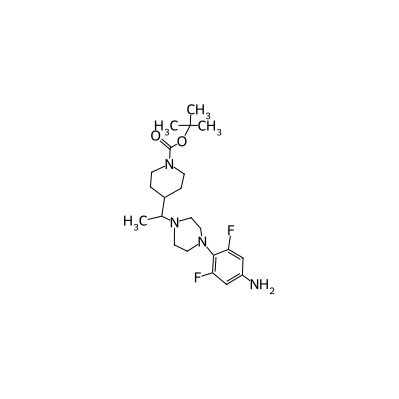 CC(C1CCN(C(=O)OC(C)(C)C)CC1)N1CCN(c2c(F)cc(N)cc2F)CC1